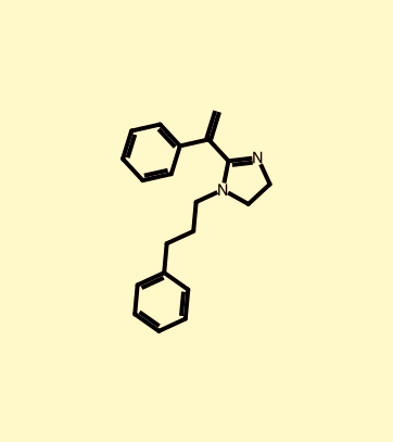 C=C(C1=NCCN1CCCc1ccccc1)c1ccccc1